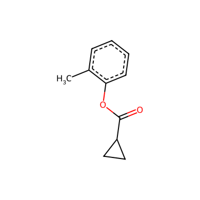 Cc1ccccc1OC(=O)C1CC1